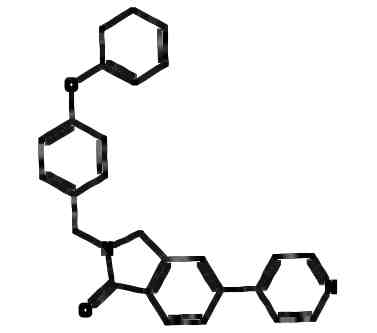 O=C1c2ccc(-c3ccncc3)cc2CN1Cc1ccc(OC2=CC=CCC2)cc1